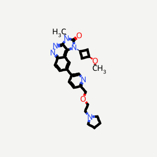 CO[C@H]1C[C@H](n2c(=O)n(C)c3nnc4ccc(-c5ccc(COCCN6CCCC6)nc5)cc4c32)C1